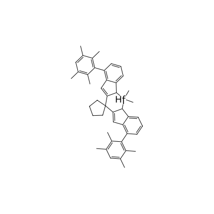 Cc1cc(C)c(C)c(-c2cccc3c2C=C2[CH]3[Hf]([CH3])([CH3])[CH]3C(=Cc4c(-c5c(C)c(C)cc(C)c5C)cccc43)C23CCCC3)c1C